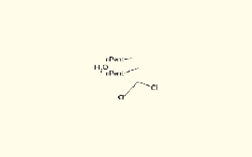 CCCCCC.CCCCCC.ClCCl.O